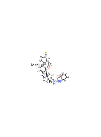 CCOc1cc(CN2CC[C@H]3C(Nc4nc5ccccc5o4)CC[C@H]32)cc(OC)c1-c1ccc(F)cc1